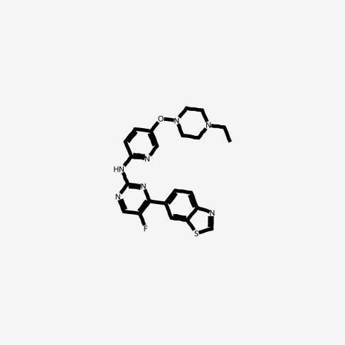 CCN1CCN(Oc2ccc(Nc3ncc(F)c(-c4ccc5ncsc5c4)n3)nc2)CC1